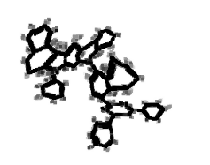 c1ccc(-c2cc(-c3ccccc3)nc(-c3ccc(-n4c5ccccc5c5cc6c7c8ccccc8ccc7n(-c7ccccc7)c6cc54)c4ccccc34)n2)cc1